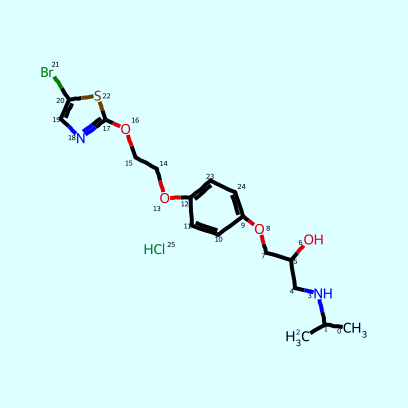 CC(C)NCC(O)COc1ccc(OCCOc2ncc(Br)s2)cc1.Cl